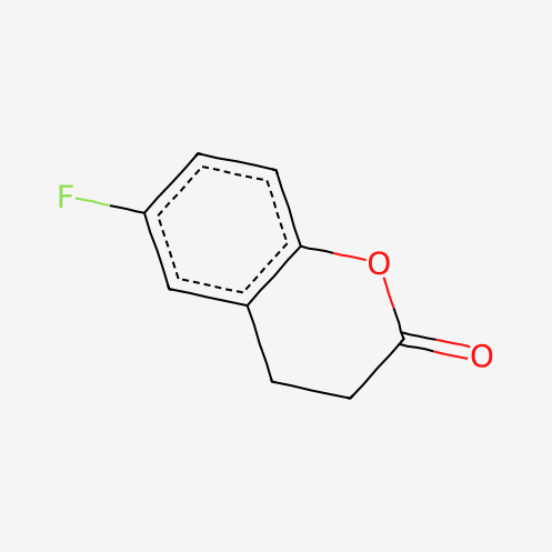 O=C1CCc2cc(F)ccc2O1